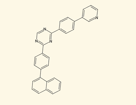 c1cncc(-c2ccc(-c3ncnc(-c4ccc(-c5cccc6ccccc56)cc4)n3)cc2)c1